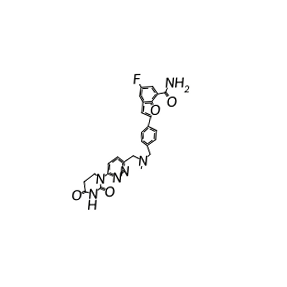 CN(Cc1ccc(-c2cc3cc(F)cc(C(N)=O)c3o2)cc1)Cc1ccc(N2CCC(=O)NC2=O)nn1